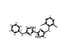 Cc1cccc(C)c1Cc1c[nH]c(-c2nc(Cc3ccccc3)c[nH]2)n1